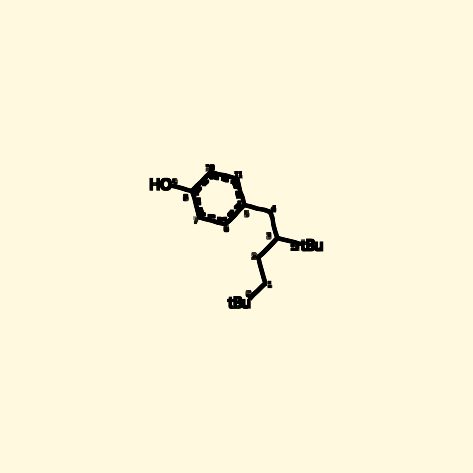 CC(C)(C)CCC(Cc1ccc(O)cc1)C(C)(C)C